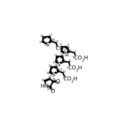 O=C(O)Cc1cccs1.O=C(O)Cc1cccs1.O=C(O)Cc1cccs1.O=C(O)Cc1cccs1.O=C1C=CNC1=O